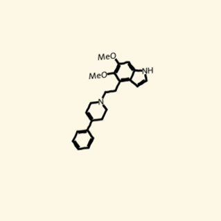 COc1cc2[nH]ccc2c(CCN2CC=C(c3ccccc3)CC2)c1OC